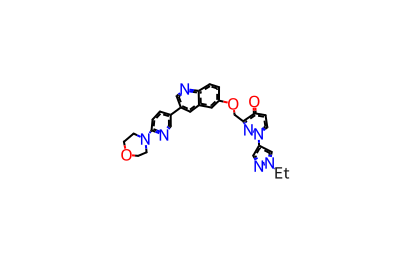 CCn1cc(-n2ccc(=O)c(COc3ccc4ncc(-c5ccc(N6CCOCC6)nc5)cc4c3)n2)cn1